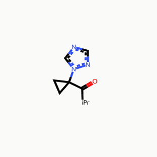 CC(C)C(=O)C1(n2cncn2)CC1